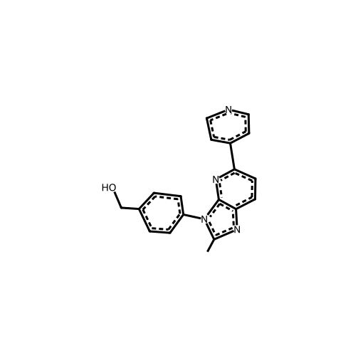 Cc1nc2ccc(-c3ccncc3)nc2n1-c1ccc(CO)cc1